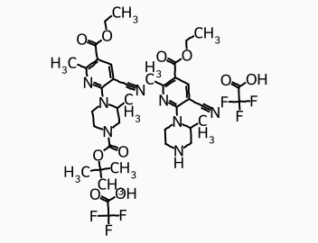 CCOC(=O)c1cc(C#N)c(N2CCN(C(=O)OC(C)(C)C)CC2C)nc1C.CCOC(=O)c1cc(C#N)c(N2CCNCC2C)nc1C.O=C(O)C(F)(F)F.O=C(O)C(F)(F)F